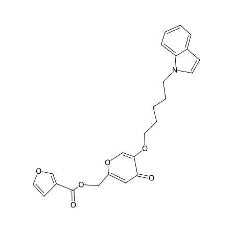 O=C(OCc1cc(=O)c(OCCCCCn2ccc3ccccc32)co1)c1ccoc1